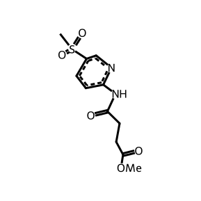 COC(=O)CCC(=O)Nc1ccc(S(C)(=O)=O)cn1